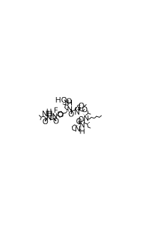 CCCCCCN(C(=O)[C@@H](NC(=O)[C@H]1CCCCN1C)[C@@H](C)CC)[C@H](C[C@@H](OC(C)=O)c1nc(C(=O)N[C@@H](Cc2ccc(NC(=O)[C@H](C)NC(=O)[C@@H](N)C(C)C)c(F)c2)CC(C)(C)C(=O)O)cs1)C(C)C